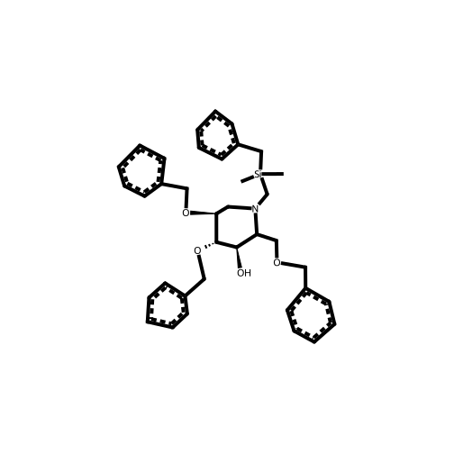 C[Si](C)(Cc1ccccc1)CN1C[C@H](OCc2ccccc2)[C@@H](OCc2ccccc2)[C@H](O)C1COCc1ccccc1